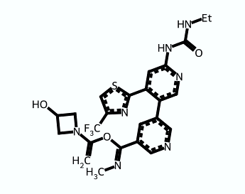 C=C(O/C(=N\C)c1cncc(-c2cnc(NC(=O)NCC)cc2-c2nc(C(F)(F)F)cs2)c1)N1CC(O)C1